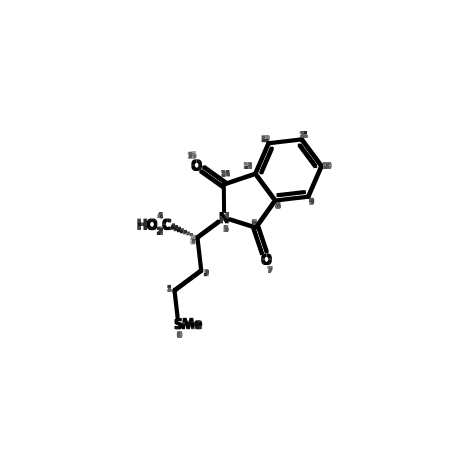 CSCC[C@H](C(=O)O)N1C(=O)c2ccccc2C1=O